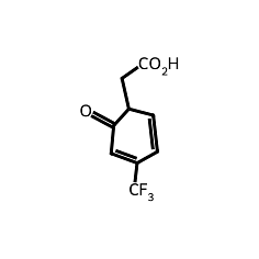 O=C(O)CC1C=CC(C(F)(F)F)=CC1=O